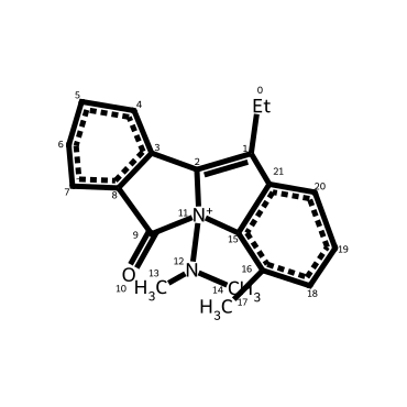 CCC1=C2c3ccccc3C(=O)[N+]2(N(C)C)c2c(C)cccc21